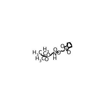 CCC(C)(C)C(=O)OCCNC(=O)OCCN1C(=O)c2ccccc2C1=O